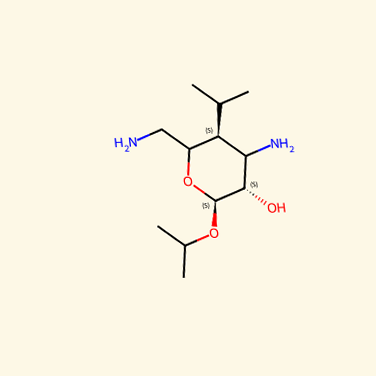 CC(C)O[C@H]1OC(CN)[C@@H](C(C)C)C(N)[C@@H]1O